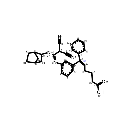 N#CC(C#N)C(=Nc1cccc(/C(=C\CCCC(=O)O)c2cccnc2)c1)NC1CC2CCC1C2